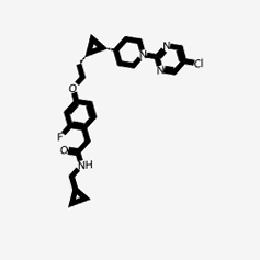 O=C(Cc1ccc(OCC[C@@H]2C[C@@H]2C2CCN(c3ncc(Cl)cn3)CC2)cc1F)NCC1CC1